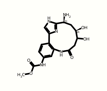 COC(=O)Nc1ccc2c(c1)NC(=O)CC(O)[C@H](O)C[C@H](N)c1nc-2c[nH]1